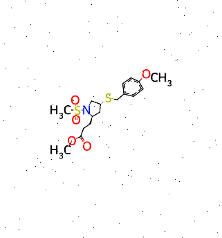 COC(=O)CC[C@@H]1C[C@@H](SCc2ccc(OC)cc2)CN1S(C)(=O)=O